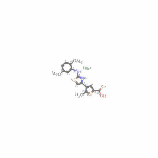 Br.COc1ccc(OC)c(Nc2nc(-c3cc(C(O)=S)sc3C)cs2)c1